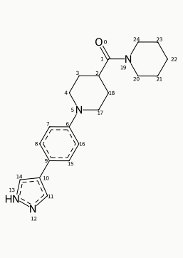 O=C(C1CCN(c2ccc(-c3cn[nH]c3)cc2)CC1)N1CCCCC1